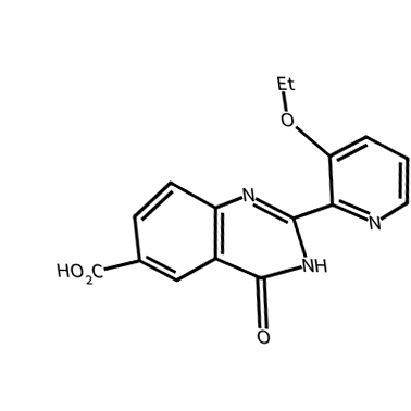 CCOc1cccnc1-c1nc2ccc(C(=O)O)cc2c(=O)[nH]1